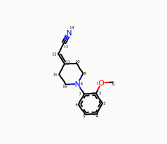 COc1ccccc1N1CCC(=CC#N)CC1